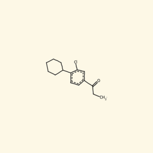 [CH2]CC(=O)c1ccc(C2CCCCC2)c(Cl)c1